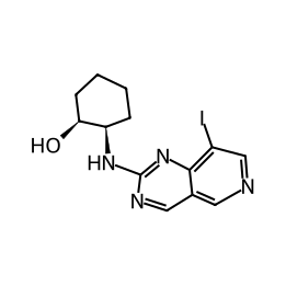 O[C@H]1CCCC[C@H]1Nc1ncc2cncc(I)c2n1